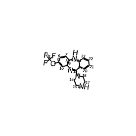 FC(F)(F)Oc1ccc2c(c1)N=C(N1CCNCC1)C1C=CC=CC1N2